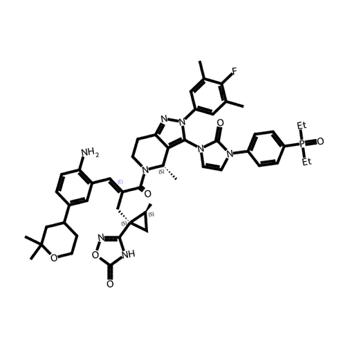 CCP(=O)(CC)c1ccc(-n2ccn(-c3c4c(nn3-c3cc(C)c(F)c(C)c3)CCN(C(=O)/C(=C/c3cc(C5CCOC(C)(C)C5)ccc3N)C[C@@]3(c5noc(=O)[nH]5)C[C@@H]3C)[C@H]4C)c2=O)cc1